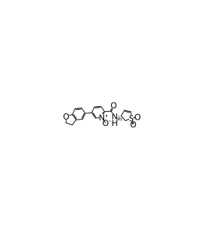 O=C(N[C@@H]1C=CS(=O)(=O)C1)c1ccc(-c2ccc3c(c2)CCO3)c[n+]1[O-]